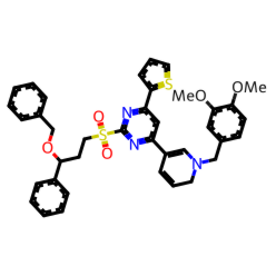 COc1ccc(CN2C=C(c3cc(-c4cccs4)nc(S(=O)(=O)CCC(OCc4ccccc4)c4ccccc4)n3)C=CC2)cc1OC